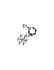 CC[n+]1ccccc1.F[P-](F)(F)(F)(F)F.[LiH]